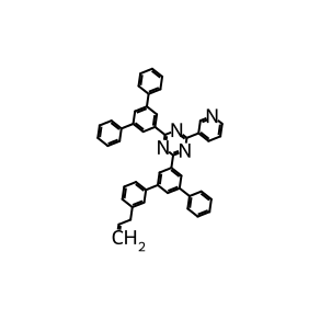 C=CCc1cccc(-c2cc(-c3ccccc3)cc(-c3nc(-c4cccnc4)nc(-c4cc(-c5ccccc5)cc(-c5ccccc5)c4)n3)c2)c1